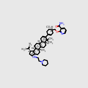 C=C(C)[C@@H]1CC[C@]2(NCCN3CCCCC3)CC[C@]3(C)[C@H](CC[C@@H]4[C@@]5(C)CC=C(C6=CC[C@](COc7ncccc7C(N)=O)(C(=O)O)CC6)C(C)(C)[C@@H]5CC[C@]43C)[C@@H]12